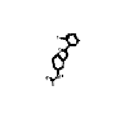 CC(=N)Nc1ccc2sc(-c3ccccc3F)cc2c1